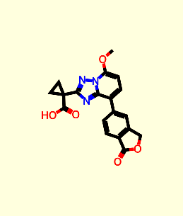 COc1ccc(-c2ccc3c(c2)COC3=O)c2nc(C3(C(=O)O)CC3)nn12